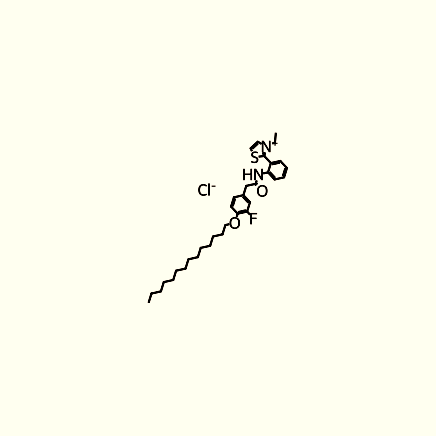 CCCCCCCCCCCCCCOc1ccc(CC(=O)Nc2ccccc2-c2scc[n+]2CC)cc1F.[Cl-]